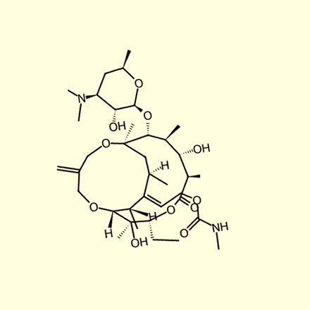 C=C1CO[C@@H]2[C@@H](C)/C(=C/COC(=O)NC)[C@H](C)C[C@@](C)(OC1)[C@H](O[C@@H]1O[C@H](C)C[C@H](N(C)C)[C@H]1O)[C@@H](C)[C@H](O)[C@@H](C)C(=O)O[C@H](CC)[C@@]2(C)O